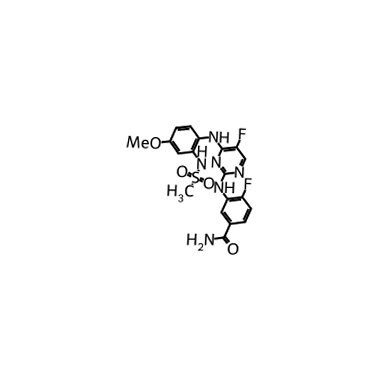 COc1ccc(Nc2nc(Nc3cc(C(N)=O)ccc3F)ncc2F)c(NS(C)(=O)=O)c1